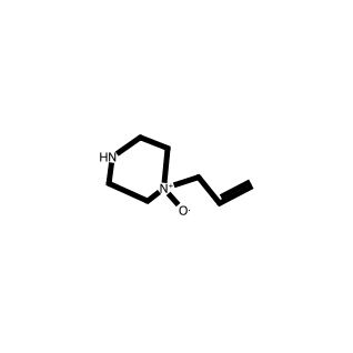 C=CC[N+]1([O])CCNCC1